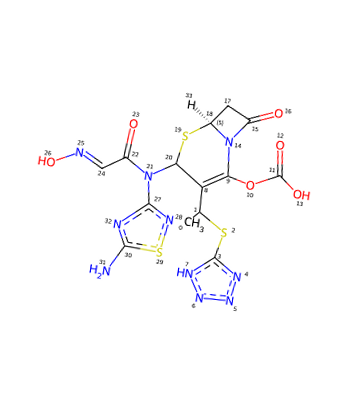 CC(Sc1nnn[nH]1)C1=C(OC(=O)O)N2C(=O)C[C@@H]2SC1N(C(=O)C=NO)c1nsc(N)n1